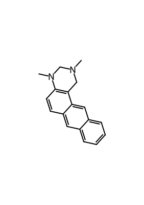 CN1Cc2c(ccc3cc4ccccc4cc23)N(C)C1